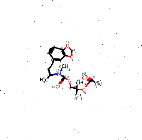 CC(Cc1ccc2c(c1)OCO2)N(C)C(=O)OCC(C)(C)OC(=O)C(C)(C)C